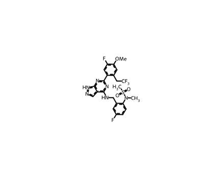 COc1cc(CC(F)(F)F)c(-c2nc(NCc3cc(F)ccc3N(C)S(C)(=O)=O)c3cn[nH]c3n2)cc1F